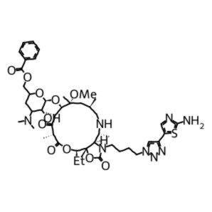 CC[C@H]1OC(=O)[C@H](C)C(=O)[C@H](C)[C@@H](O[C@@H]2OC(COC(=O)c3ccccc3)CC(N(C)C)C2O)[C@](C)(OC)C[C@@H](C)CN[C@H](C)[C@H]2N(CCCCn3cc(-c4cnc(N)s4)nn3)C(=O)O[C@]12C